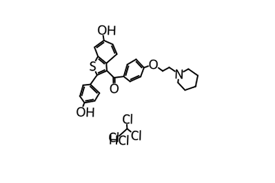 Cl.ClC(Cl)Cl.O=C(c1ccc(OCCN2CCCCC2)cc1)c1c(-c2ccc(O)cc2)sc2cc(O)ccc12